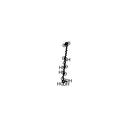 O=C(CCCCO[C@H]1C[C@@H](O)[C@@H](O)[C@@H](CO)O1)NCCCNC(=O)CCOCCNC(=O)CCCCCCCCCCCN1C(=O)C=CC1=O